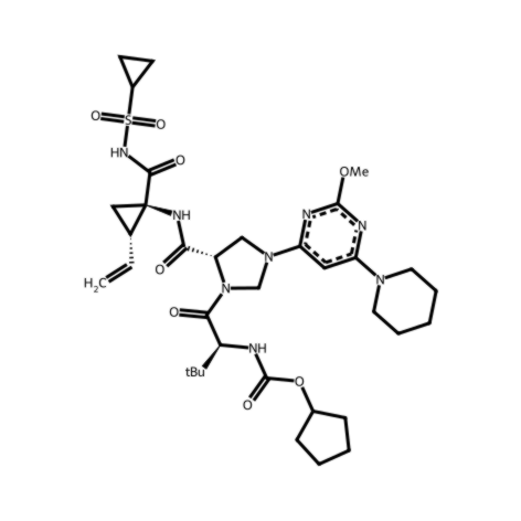 C=C[C@@H]1C[C@]1(NC(=O)[C@@H]1CN(c2cc(N3CCCCC3)nc(OC)n2)CN1C(=O)[C@@H](NC(=O)OC1CCCC1)C(C)(C)C)C(=O)NS(=O)(=O)C1CC1